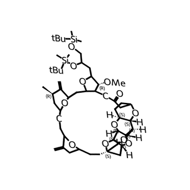 C=C1CC2CC[C@@]34C[C@H]5O[C@H]6[C@@H](O3)[C@H]3OC(CC[C@@H]3O[C@H]6[C@H]5O4)CC(=O)CC3C(CC4OC(CCC1O2)C[C@@H](C)C4=C)OC(CC(CO[Si](C)(C)C(C)(C)C)O[Si](C)(C)C(C)(C)C)[C@@H]3OC